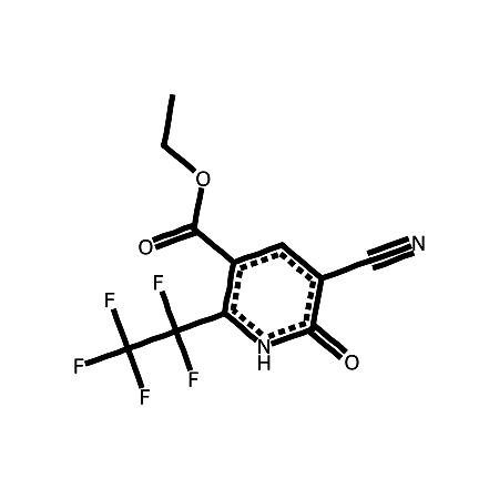 CCOC(=O)c1cc(C#N)c(=O)[nH]c1C(F)(F)C(F)(F)F